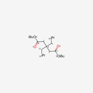 CC(C)COC(=O)CC(CC(=O)OCC(C)C)(CC(C)C)CC(C)C